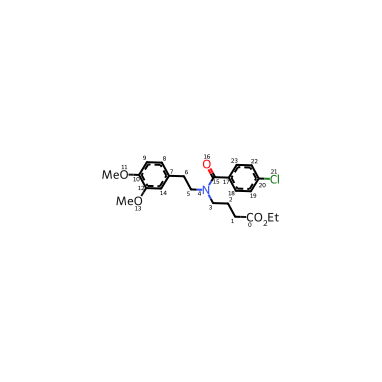 CCOC(=O)CCCN(CCc1ccc(OC)c(OC)c1)C(=O)c1ccc(Cl)cc1